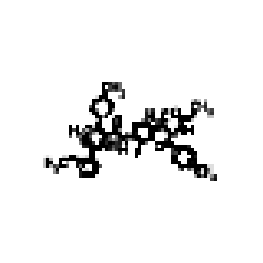 CCC(=O)N[C@@H](C(=O)N1CCN(C)CC1)[C@@H](C)c1ccc(NC(=O)[C@@H](NC(=O)c2ccnn2CC)[C@H](C)[C@H]2CC[C@H](C)CC2)c(F)c1